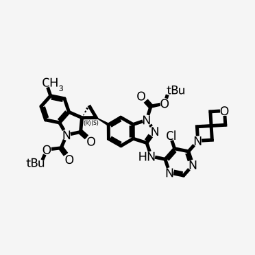 Cc1ccc2c(c1)[C@]1(C[C@H]1c1ccc3c(Nc4ncnc(N5CC6(COC6)C5)c4Cl)nn(C(=O)OC(C)(C)C)c3c1)C(=O)N2C(=O)OC(C)(C)C